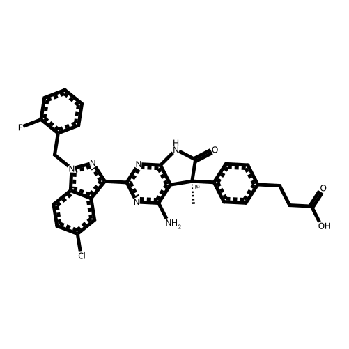 C[C@@]1(c2ccc(CCC(=O)O)cc2)C(=O)Nc2nc(-c3nn(Cc4ccccc4F)c4ccc(Cl)cc34)nc(N)c21